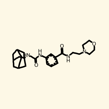 O=C(Nc1cccc(C(=O)NCCN2CCOCC2)c1)NC12CC3CC(CC(C3)C1)C2